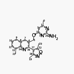 Cc1cc(OCc2cc3cccc(C)c3nc2-c2c(C)noc2C)nc(N)n1